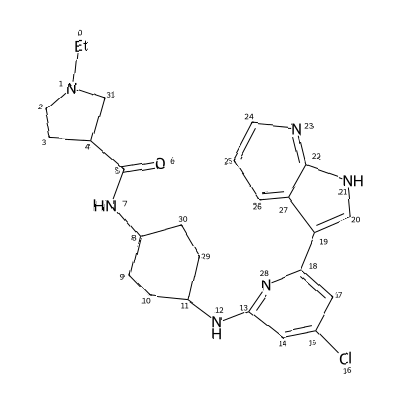 CCN1CCC(C(=O)NC2CCC(Nc3cc(Cl)cc(-c4c[nH]c5ncccc45)n3)CC2)C1